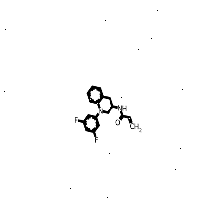 C=CC(=O)NC1Cc2ccccc2N(c2cc(F)cc(F)c2)C1